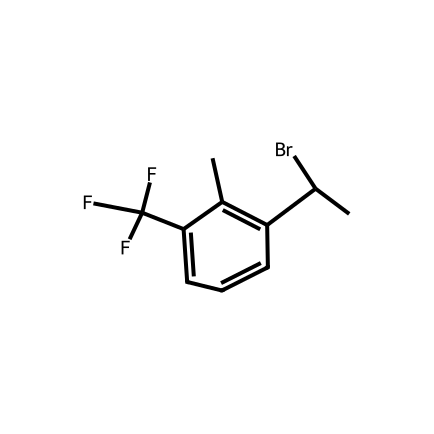 Cc1c(C(C)Br)cccc1C(F)(F)F